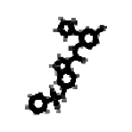 O=C(Nc1ccc(Br)cc1-c1nnn[nH]1)c1noc2cc(OS(=O)(=O)c3ccccc3)ccc12